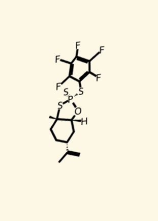 C=C(C)[C@@H]1CC[C@]2(C)S[P@](=S)(Sc3c(F)c(F)c(F)c(F)c3F)O[C@@H]2C1